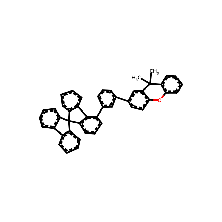 CC1(C)c2ccccc2Oc2ccc(-c3cccc(-c4cccc5c4-c4ccccc4C54c5ccccc5-c5ccccc54)c3)cc21